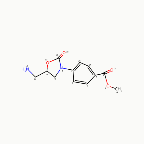 COC(=O)c1ccc(N2CC(CN)OC2=O)cc1